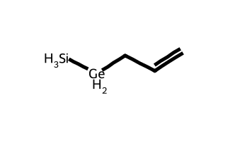 C=C[CH2][GeH2][SiH3]